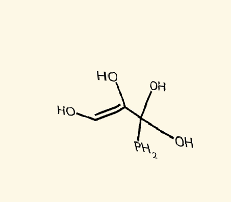 OC=C(O)C(O)(O)P